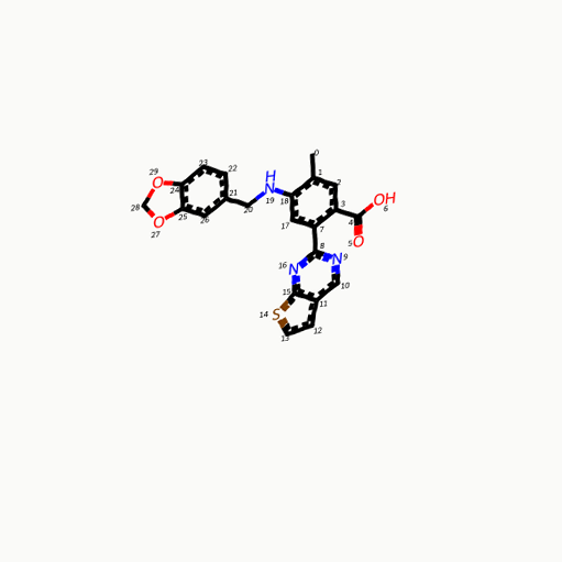 Cc1cc(C(=O)O)c(-c2ncc3ccsc3n2)cc1NCc1ccc2c(c1)OCO2